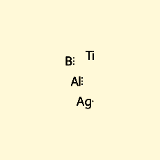 [Ag].[Al].[B].[Ti]